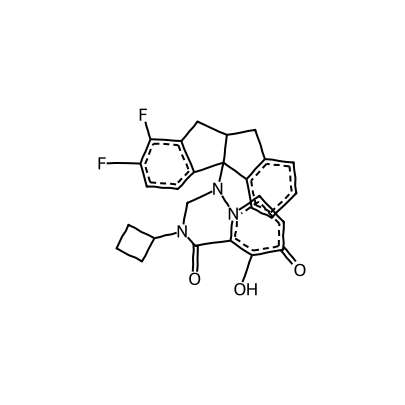 O=C1c2c(O)c(=O)ccn2N(C23c4ccccc4CC2Cc2c3ccc(F)c2F)CN1C1CCC1